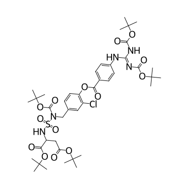 CC(C)(C)OC(=O)CC(NS(=O)(=O)N(Cc1ccc(OC(=O)c2ccc(NC(=NC(=O)OC(C)(C)C)NC(=O)OC(C)(C)C)cc2)c(Cl)c1)C(=O)OC(C)(C)C)C(=O)OC(C)(C)C